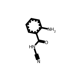 N#CNC(=O)c1ccccc1N